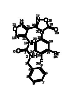 O=C(NCc1ccccc1)Nc1nonc1-c1noc(=O)n1-c1ccc(F)c(Br)c1